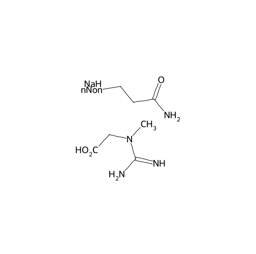 CCCCCCCCCCCC(N)=O.CN(CC(=O)O)C(=N)N.[NaH]